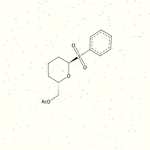 CC(=O)OC[C@@H]1CCC[C@@H](S(=O)(=O)c2ccccc2)O1